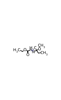 CCOC(=O)/N=N/C(C)(CC)OC